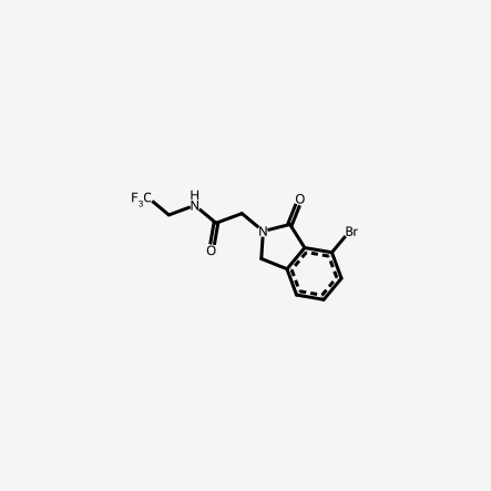 O=C(CN1Cc2cccc(Br)c2C1=O)NCC(F)(F)F